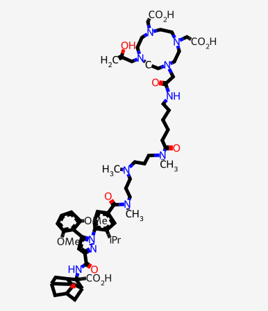 C=C(O)CN1CCN(CC(=O)O)CCN(CC(=O)O)CCN(CC(=O)NCCCCCC(=O)N(C)CCCN(C)CCCN(C)C(=O)c2ccc(-n3nc(C(=O)NC4(C(=O)O)C5CC6CC(C5)CC4C6)cc3-c3c(OC)cccc3OC)c(C(C)C)c2)CC1